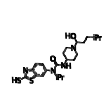 CC(C)CCC(O)N1CCC(NC(=O)N(c2ccc3nc(S)sc3c2)C(C)C)CC1